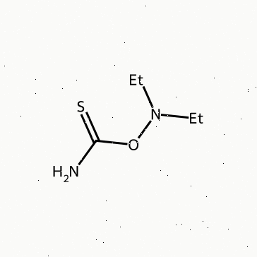 CCN(CC)OC(N)=S